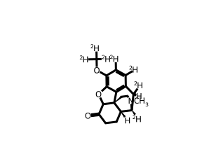 [2H]c1c([2H])c2c3c(c1OC([2H])([2H])[2H])OC1C(=O)CC[C@@H]4[C@@]31CCN(C)[C@]4([2H])C2([2H])[2H]